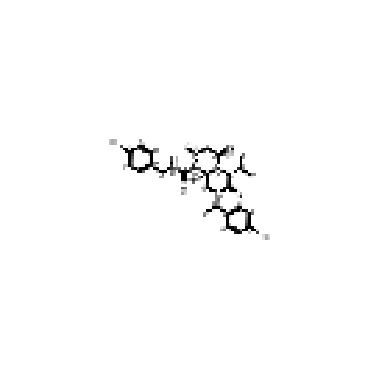 CC(C)[C@H]1C(=O)N(C(C)c2ccc(F)cc2)C[C@H]2N1C(=O)CN(C)N2C(=O)NCc1ccc(F)cc1